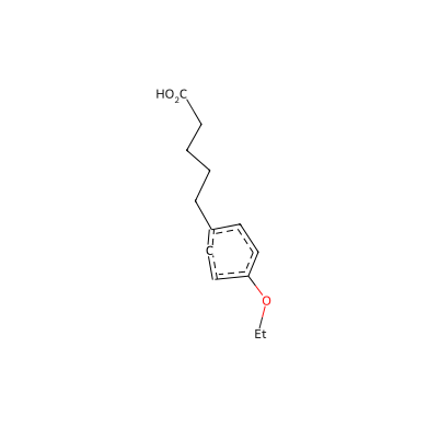 CCOc1ccc(CCCCC(=O)O)cc1